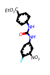 CCOC(=O)c1ccc(NC(=O)Nc2ccc(F)c([N+](=O)[O-])c2)cc1